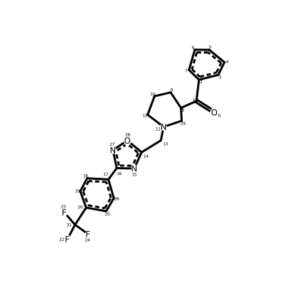 O=C(c1ccccc1)C1CCCN(Cc2nc(-c3ccc(C(F)(F)F)cc3)no2)C1